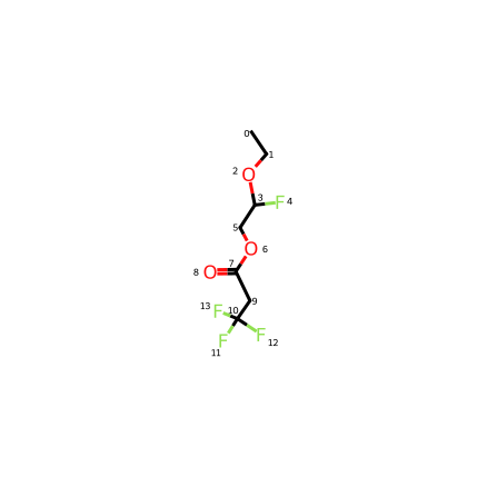 CCOC(F)COC(=O)CC(F)(F)F